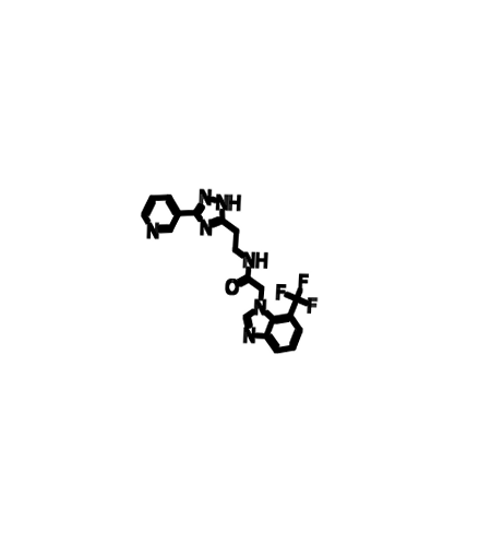 O=C(Cn1cnc2cccc(C(F)(F)F)c21)NCCc1nc(-c2cccnc2)n[nH]1